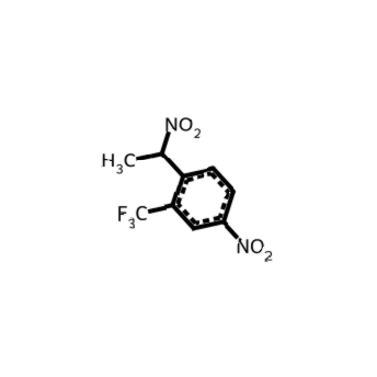 CC(c1ccc([N+](=O)[O-])cc1C(F)(F)F)[N+](=O)[O-]